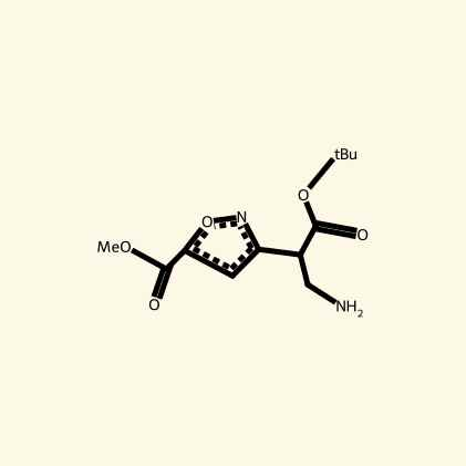 COC(=O)c1cc(C(CN)C(=O)OC(C)(C)C)no1